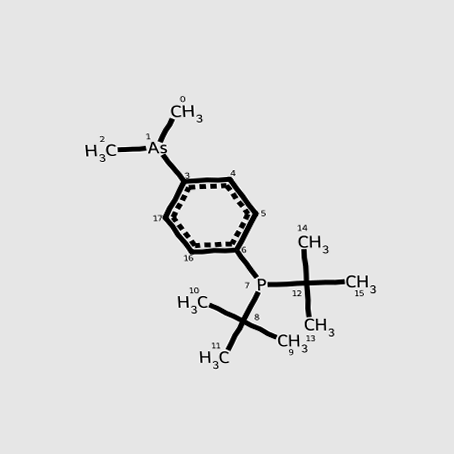 C[As](C)c1ccc(P(C(C)(C)C)C(C)(C)C)cc1